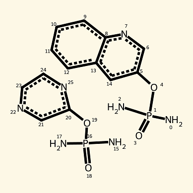 NP(N)(=O)Oc1cnc2ccccc2c1.NP(N)(=O)Oc1cnccn1